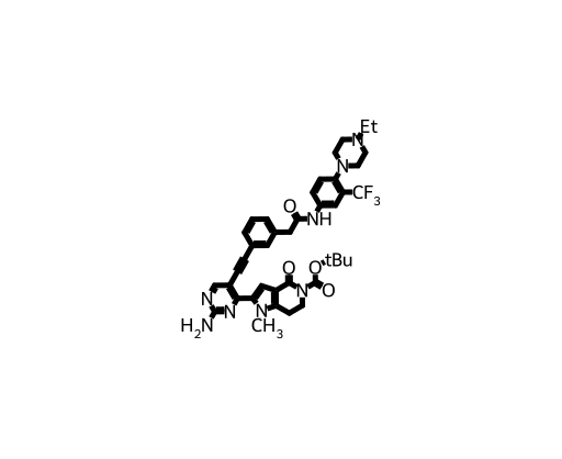 CCN1CCN(c2ccc(NC(=O)Cc3cccc(C#Cc4cnc(N)nc4-c4cc5c(n4C)CCN(C(=O)OC(C)(C)C)C5=O)c3)cc2C(F)(F)F)CC1